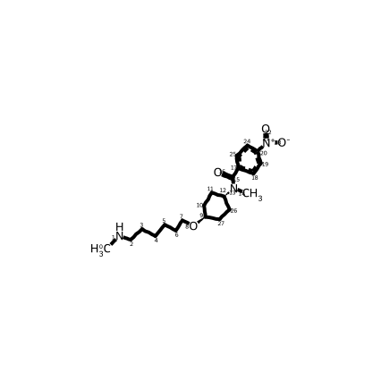 CNCCCCCCO[C@H]1CC[C@H](N(C)C(=O)c2ccc([N+](=O)[O-])cc2)CC1